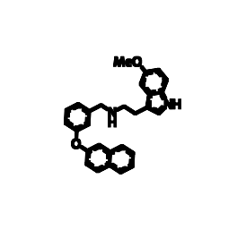 COc1ccc2[nH]cc(CCNCc3cccc(Oc4ccc5ccccc5c4)c3)c2c1